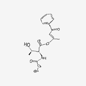 C/C(=C\C(=O)c1ccccc1)OC(=O)[C@@H](NC(=O)OC(C)(C)C)[C@@H](C)O